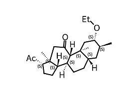 CCO[C@H]1C[C@@]2(C)[C@@H](CC[C@H]3[C@@H]4CC[C@H](C(C)=O)[C@@]4(C)CC(=O)[C@@H]32)C[C@@H]1C